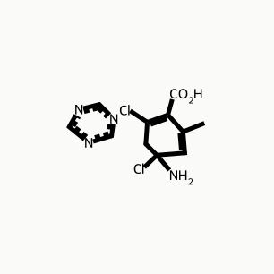 CC1=CC(N)(Cl)CC(Cl)=C1C(=O)O.c1ncncn1